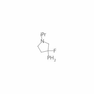 CC(C)N1CCC(F)(P)C1